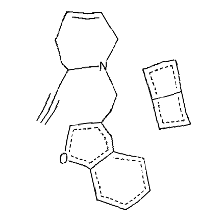 C#CC1CC=CCN1Cc1coc2ccccc12.c1cc2ccc1-2